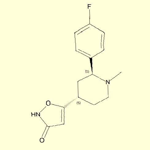 CN1CC[C@H](c2cc(=O)[nH]o2)C[C@H]1c1ccc(F)cc1